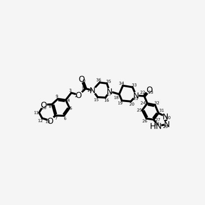 O=C(OCc1ccc2c(c1)OCCO2)N1CCN(C2CCN(C(=O)c3ccc4[nH]nnc4c3)CC2)CC1